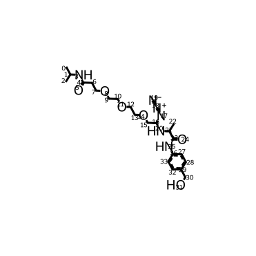 CC(C)NC(=O)CCOCCOCCOCC(N=[N+]=[N-])NC(C)C(=O)Nc1ccc(CO)cc1